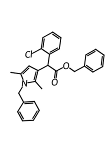 Cc1cc(C(C(=O)OCc2ccccc2)c2ccccc2Cl)c(C)n1Cc1ccccc1